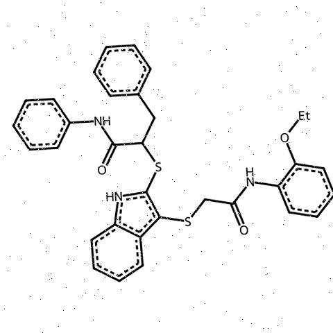 CCOc1ccccc1NC(=O)CSc1c(SC(Cc2ccccc2)C(=O)Nc2ccccc2)[nH]c2ccccc12